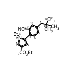 CCOC(=O)c1cc(-c2ccc(CC(C)(C)C(F)(F)F)cc2C#N)n(CC)n1